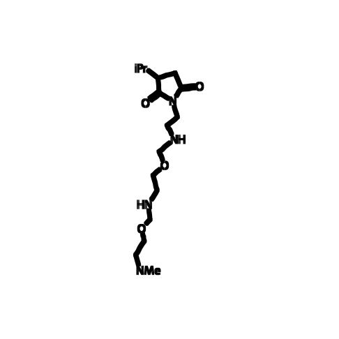 CNCCOCNCCOCNCCN1C(=O)CC(C(C)C)C1=O